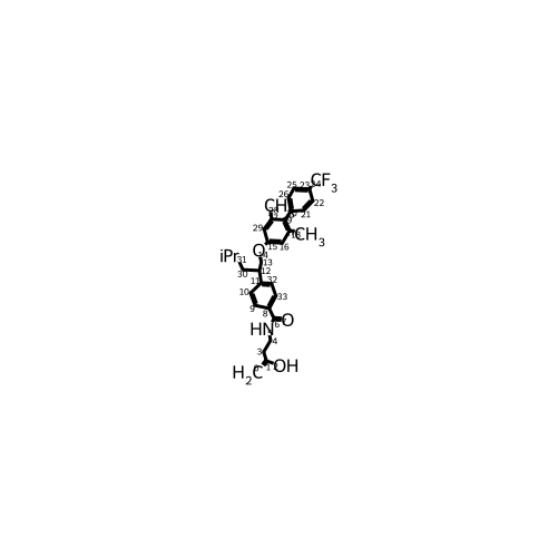 C=C(O)CCNC(=O)c1ccc(C(COc2cc(C)c(-c3ccc(C(F)(F)F)cc3)c(C)c2)CC(C)C)cc1